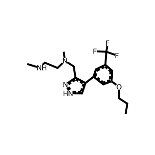 CCCOc1cc(-c2c[nH]nc2CN(C)CCNC)cc(C(F)(F)F)c1